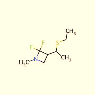 CCSC(C)C1CN(C)C1(F)F